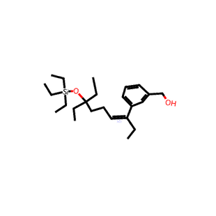 CC/C(=C/CCC(CC)(CC)O[Si](CC)(CC)CC)c1cccc(CO)c1